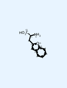 N[C@@H](Cc1cc2ccccc2o1)C(=O)O